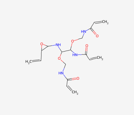 C=CC(=O)NCOC(NC(=O)C=C)C(NC1OC1C=C)OCNC(=O)C=C